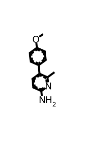 COc1ccc(-c2ccc(N)nc2C)cc1